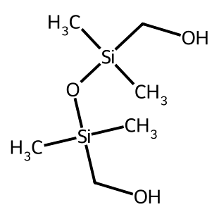 C[Si](C)(CO)O[Si](C)(C)CO